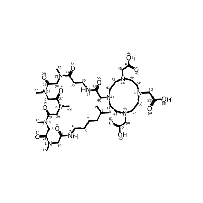 CC(C)CCCCNC(=O)CN(C)C(=O)CN(C)C(=O)CN(C)C(=O)CN(C)C(=O)CN(C)C(=O)CCNC(=O)CN1CCN(CC(=O)O)CCN(CC(=O)O)CCN(CC(=O)O)CC1